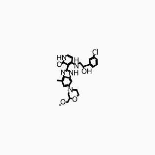 COCC1CN(c2cc(C)c3nc(-c4c(NCC(O)c5cccc(Cl)c5)cc[nH]c4=O)[nH]c3c2)CCO1